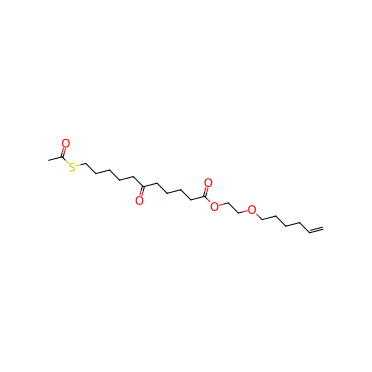 C=CCCCCOCCOC(=O)CCCCC(=O)CCCCCSC(C)=O